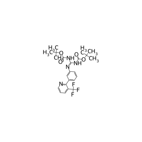 CC(C)(C)OC(=O)NC(=Nc1cccc(-c2ncccc2C(F)(F)F)c1)NC(=O)OC(C)(C)C